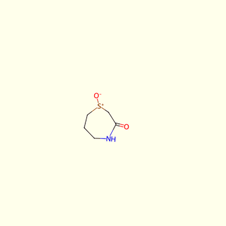 O=C1C[S+]([O-])CCCN1